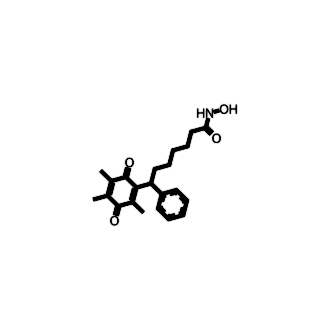 CC1=C(C)C(=O)C(C(CCCCCC(=O)NO)c2ccccc2)=C(C)C1=O